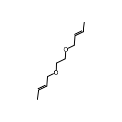 CC=CCOCCOCC=CC